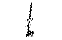 CCCCCCCCCCCC(=O)NCCOC(=O)CCc1cc(C(C)(C)C)c(O)c(C(C)(C)C)c1